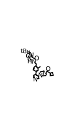 Cc1cc(-c2ccncc2N2CCN(C(=O)C3=CCC3)CC2)ccc1CNC(=O)c1noc(C(C)(C)C)n1